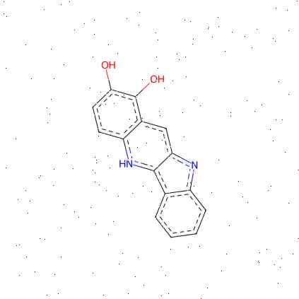 Oc1ccc2[nH]c3c4ccccc4nc-3cc2c1O